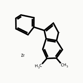 Cc1cc2c(cc1C)C(c1ccccc1)=C[CH]2.[Zr]